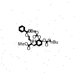 CCCCOC(=O)Oc1ccc(C[C@H](NCCOC(=O)c2ccccc2)C(=O)OC)cc1OC(=O)OCCCC